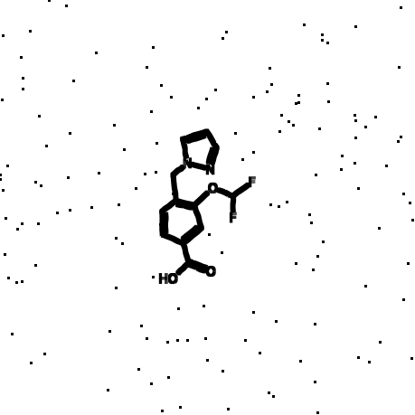 O=C(O)c1ccc(Cn2cccn2)c(OC(F)F)c1